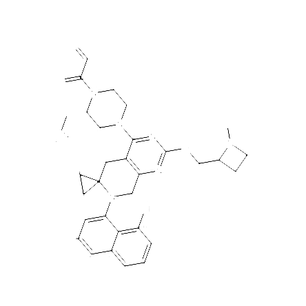 C=CC(=O)N1CCN(c2nc(OCC3CCN3C(C)(C)C)nc3c2CC2(CC2)N(c2cccc4cccc(C)c24)C3)C[C@@H]1CC#N